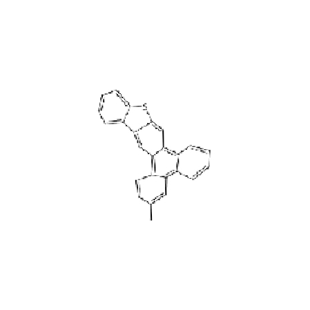 Cc1ccc2c(c1)c1ccccc1c1cc3sc4ccccc4c3cc21